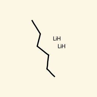 CCCCCC.[LiH].[LiH]